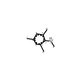 C[SiH2]c1c(C)cc(C)cc1C